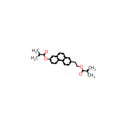 C=C(C)C(=O)OCCc1ccc2c(ccc3cc(OC(=O)C(=C)C)ccc32)c1